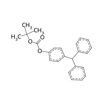 CC(C)(C)OC(=O)Oc1ccc(C(c2ccccc2)c2ccccc2)cc1